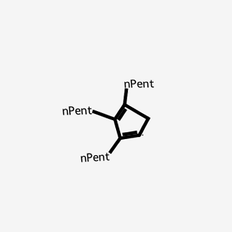 CCCCCC1=[C]CC(CCCCC)=C1CCCCC